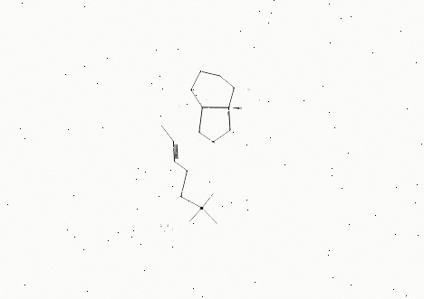 COC(C)(C)CC/C=C(/C)[C@H]1CC[C@H]2[C@@H](O)CCC[C@]12C